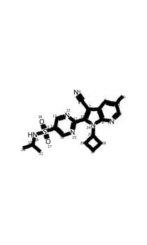 Cc1cnc2c(c1)c(C#N)c(-c1ncc(S(=O)(=O)NC(C)C)cn1)n2C1CCC1